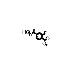 COC(=O)c1ccc(C(C)=NO)cc1F